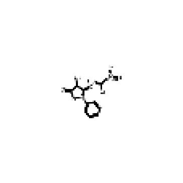 CCCCC1C(=O)NN(c2ccccc2)C1=O.CCCCCC(O)O.CCOCC